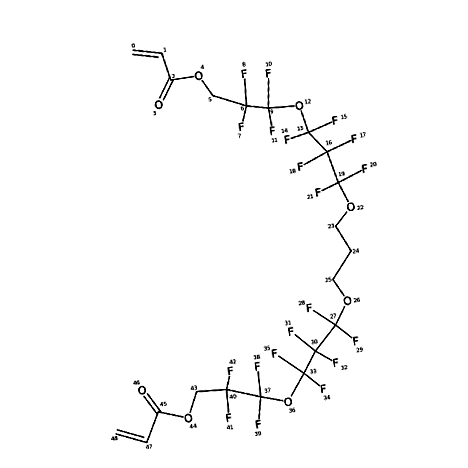 C=CC(=O)OCC(F)(F)C(F)(F)OC(F)(F)C(F)(F)C(F)(F)OCCCOC(F)(F)C(F)(F)C(F)(F)OC(F)(F)C(F)(F)COC(=O)C=C